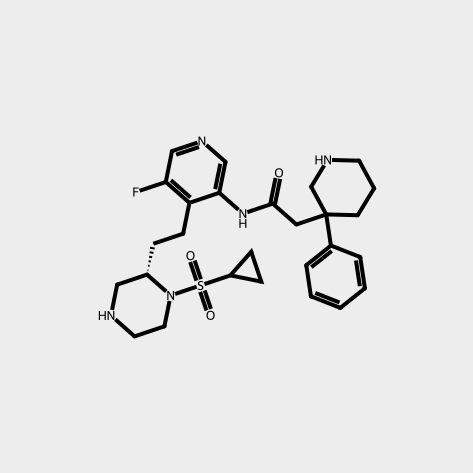 O=C(CC1(c2ccccc2)CCCNC1)Nc1cncc(F)c1CC[C@H]1CNCCN1S(=O)(=O)C1CC1